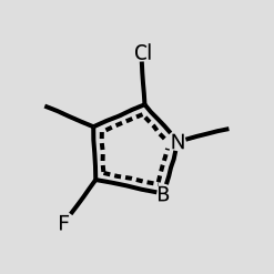 Cc1c(F)bn(C)c1Cl